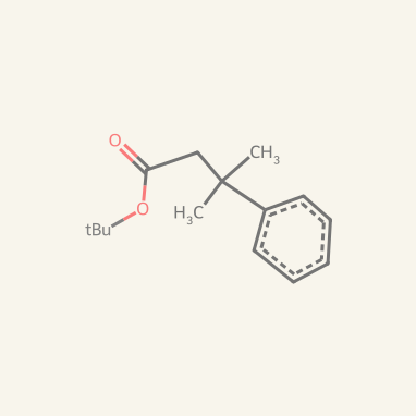 CC(C)(C)OC(=O)CC(C)(C)c1ccccc1